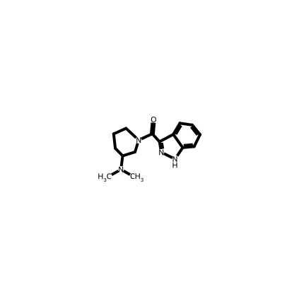 CN(C)C1CCCN(C(=O)c2n[nH]c3ccccc23)C1